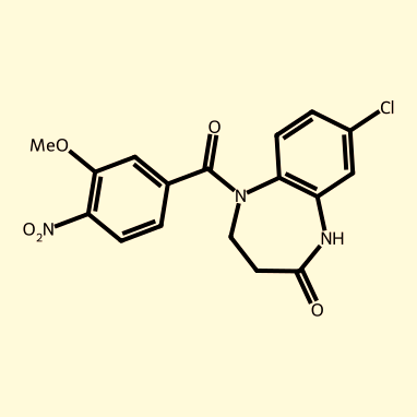 COc1cc(C(=O)N2CCC(=O)Nc3cc(Cl)ccc32)ccc1[N+](=O)[O-]